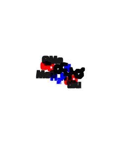 COC(=O)COc1cc2c(cc1OC)C1C(N)C(C(=O)OC(C)(C)C)C(c3cccc(C)c3)CN1CC2